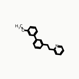 COc1cccc(-c2cccc(CCc3ccccn3)c2)c1